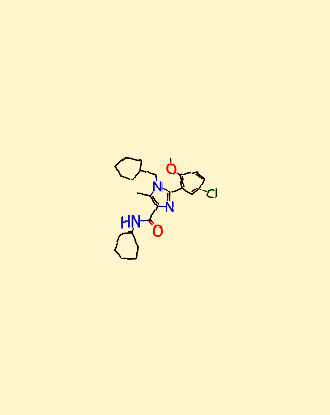 COc1ccc(Cl)cc1-c1nc(C(=O)NC2CCCCC2)c(C)n1CC1CCCCC1